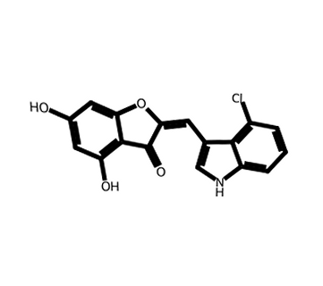 O=C1C(=Cc2c[nH]c3cccc(Cl)c23)Oc2cc(O)cc(O)c21